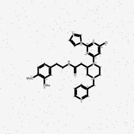 COc1ccc(CCNC(=O)CC2CN(Cc3cccnc3)CCN2c2cc(Cl)nc(-n3ccnc3)n2)cc1OC